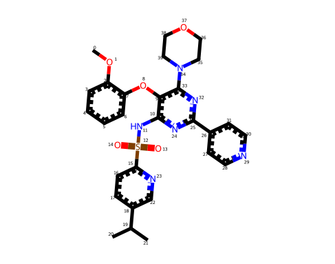 COc1ccccc1Oc1c(NS(=O)(=O)c2ccc(C(C)C)cn2)nc(-c2ccncc2)nc1N1CCOCC1